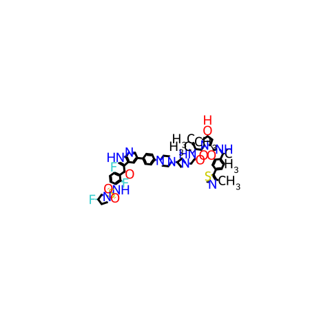 Cc1ncsc1-c1ccc([C@H](C)NC(=O)[C@@H]2C[C@@H](O)CN2C(=O)[C@@H](NC(=O)CN2CC(N3CCN(c4ccc(-c5cnc6[nH]cc(C(=O)c7c(F)ccc(NS(=O)(=O)N8CC[C@@H](F)C8)c7F)c6c5)cc4)CC3)C2)C(C)(C)C)cc1